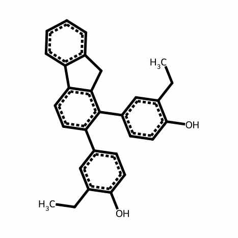 CCc1cc(-c2ccc3c(c2-c2ccc(O)c(CC)c2)Cc2ccccc2-3)ccc1O